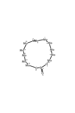 O=[Si]1[O][Mo][Mo][Mo][Mo][Mo][Mo][Mo][Mo][Mo][Mo][Mo][Mo][O]1